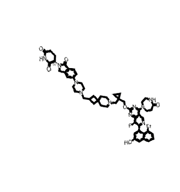 CCc1cccc2cc(O)cc(-c3ncc4c(N5CCNC(=O)CC5)nc(OCC5(CN6CCC7(CC6)CC(CN6CCN(c8ccc9c(c8)CN([C@H]8CCC(=O)NC8=O)C9=O)CC6)C7)CC5)nc4c3F)c12